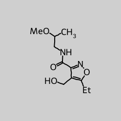 CCc1onc(C(=O)NCC(C)OC)c1CO